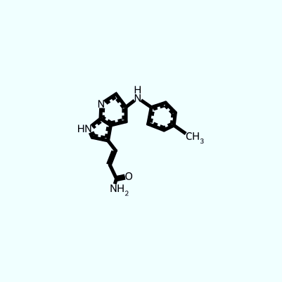 Cc1ccc(Nc2cnc3[nH]cc(/C=C/C(N)=O)c3c2)cc1